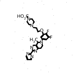 CC1c2cnc(-c3ncccn3)nc2CCN1c1cc(F)c(F)c(OCCCN2CCN(C(=O)O)CC2)c1